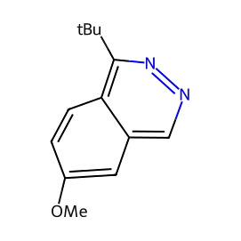 COc1ccc2c(C(C)(C)C)nncc2c1